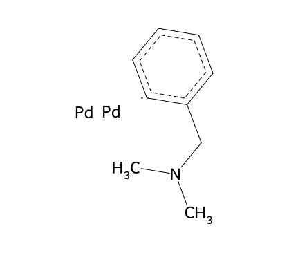 CN(C)Cc1[c]cccc1.[Pd].[Pd]